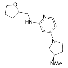 CN[C@@H]1CCN(c2ccnc(NCC3CCCO3)c2)C1